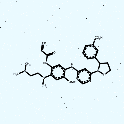 C=CC(=O)Nc1cc(Nc2cc(N3OCCC3c3cccc(C(=O)O)c3)ncn2)c(OC)cc1N(C)CCN(C)C